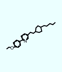 CCCCCC1CCC(CCc2ccc(-c3ccc(OCC)cc3)nc2)CC1